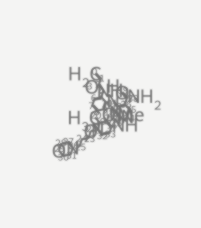 C=CC(=O)Nc1ccccc1Nc1nc(NC2=C(OC)C(C)N(OCCCN3CCOCC3)C=C2)ncc1C(N)=O